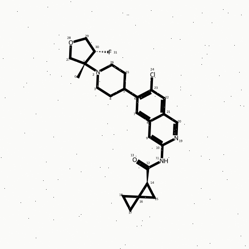 C[C@@]1(N2CCC(c3cc4cc(NC(=O)[C@H]5CC56CC6)ncc4cc3Cl)CC2)COC[C@@H]1F